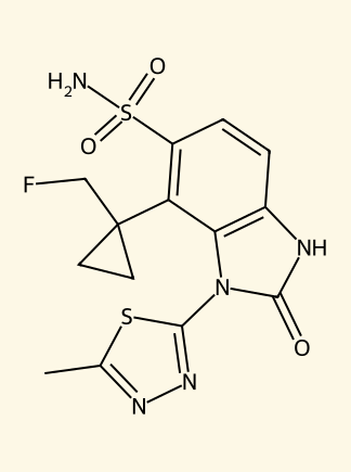 Cc1nnc(-n2c(=O)[nH]c3ccc(S(N)(=O)=O)c(C4(CF)CC4)c32)s1